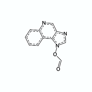 O=COn1cnc2cnc3ccccc3c21